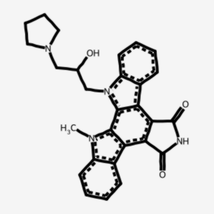 Cn1c2ccccc2c2c3c(c4c5ccccc5n(CC(O)CN5CCCC5)c4c21)C(=O)NC3=O